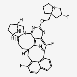 Fc1ccc2cccc3c2c1C[C@@H]1CC[C@@H]2[C@@H]4CC[C@H](CN2c2nc(OC[C@@]56CCCN5C[C@H](F)C6)nc5c(F)c-3nc1c25)N4